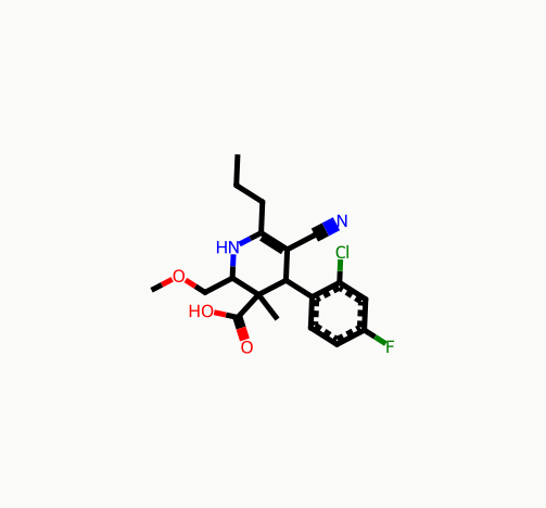 CCCC1=C(C#N)C(c2ccc(F)cc2Cl)C(C)(C(=O)O)C(COC)N1